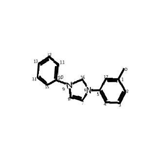 Cc1cccc(N2C=CN(c3ccccc3)C2)c1